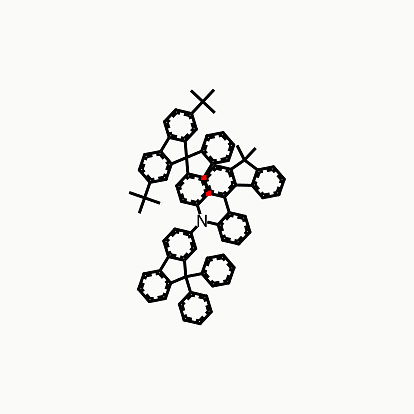 CC(C)(C)c1ccc2c(c1)C1(c3ccccc3-c3cc(N(c4ccc5c(c4)C(c4ccccc4)(c4ccccc4)c4ccccc4-5)c4ccccc4-c4cccc5c4-c4ccccc4C5(C)C)ccc31)c1cc(C(C)(C)C)ccc1-2